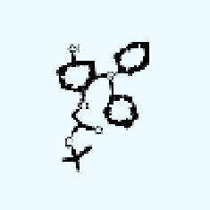 CC(C)(C)OC(=O)COc1ccc(O)cc1[S+](c1ccccc1)c1ccccc1